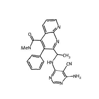 CNC(=O)c1c(-c2ccccc2)c(C(C)Nc2ncnc(N)c2C#N)nc2ncccc12